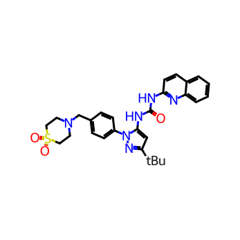 CC(C)(C)c1cc(NC(=O)Nc2ccc3ccccc3n2)n(-c2ccc(CN3CCS(=O)(=O)CC3)cc2)n1